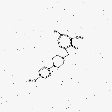 COc1ccc(N2CCN(Cc3ccc(C(C)C)cc(OC)c3=O)CC2)cc1